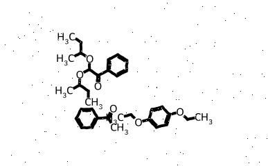 CC(=O)c1ccccc1.CCC(C)OC(OC(C)CC)C(=O)c1ccccc1.CCOc1ccc(OCC)cc1